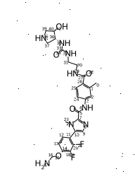 Cc1cc(NC(=O)c2ncc(-c3ccc(OCN)c(F)c3F)n2C)ccc1C(=O)NCCNC(=O)N[C@@H]1CNC[C@H]1O